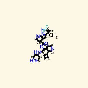 CC1(c2cc3c(-c4nc(CNC5CCNCC5)c5c(C6CCC6)cncc5n4)ccnc3[nH]2)CC1(F)F